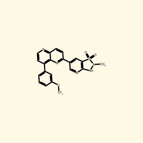 CN1Nc2ncc(-c3ccc4nccc(-c5cccc(OC(F)(F)F)c5)c4n3)cc2S1(=O)=O